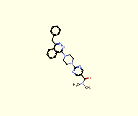 CN(C)C(=O)c1cnc(N2CCN(c3nnc(Cc4ccccc4)c4ccccc34)CC2)nc1